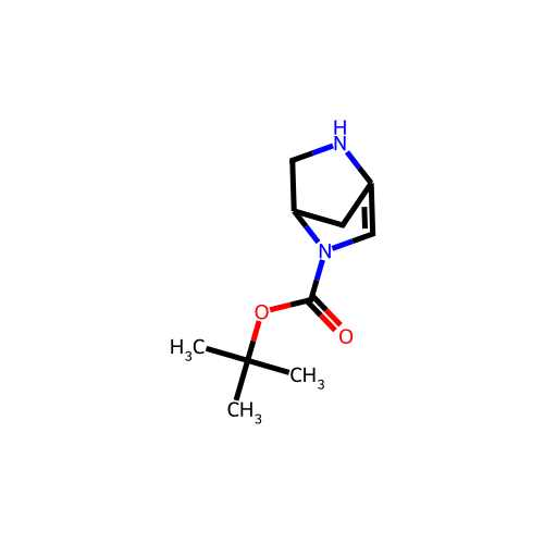 CC(C)(C)OC(=O)N1C=C2CC1CN2